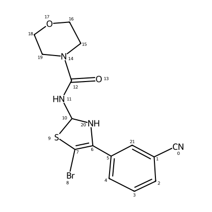 N#Cc1cccc(C2=C(Br)SC(NC(=O)N3CCOCC3)N2)c1